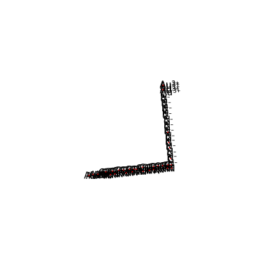 [Au+3].[Au+3].[Au+3].[Au+3].[Au+3].[Au+3].[Au+3].[Au+3].[Au+3].[Au+3].[Au+3].[Au+3].[C-]#N.[C-]#N.[C-]#N.[C-]#N.[C-]#N.[C-]#N.[C-]#N.[C-]#N.[C-]#N.[C-]#N.[C-]#N.[C-]#N.[C-]#N.[C-]#N.[C-]#N.[C-]#N.[C-]#N.[C-]#N.[C-]#N.[C-]#N.[C-]#N.[C-]#N.[C-]#N.[C-]#N.[C-]#N.[C-]#N.[C-]#N.[C-]#N.[C-]#N.[C-]#N.[C-]#N.[C-]#N.[C-]#N.[C-]#N.[C-]#N.[C-]#N.[C-]#N.[C-]#N.[C-]#N.[C-]#N.[C-]#N.[C-]#N.[C-]#N.[C-]#N.[C-]#N.[C-]#N